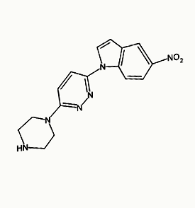 O=[N+]([O-])c1ccc2c(ccn2-c2ccc(N3CCNCC3)nn2)c1